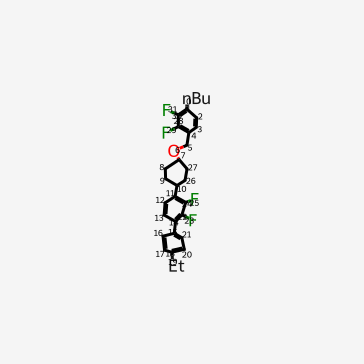 CCCCc1ccc(COC2CCC(c3ccc(-c4ccc(CC)cc4)c(F)c3F)CC2)c(F)c1F